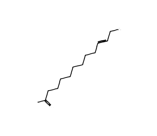 NCC=CCCCCCCCCC(=O)O